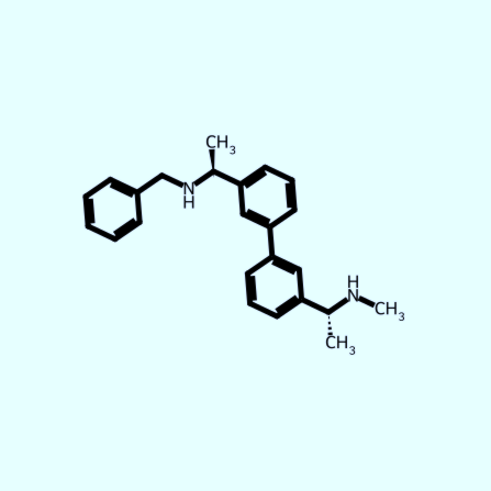 CN[C@H](C)c1cccc(-c2cccc([C@H](C)NCc3ccccc3)c2)c1